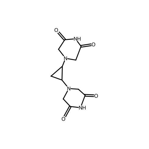 O=C1CN(C2CC2N2CC(=O)NC(=O)C2)CC(=O)N1